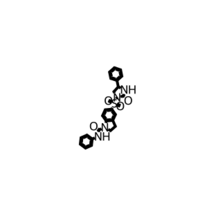 O=C(Nc1ccccc1)N1CCc2cc(S(=O)(=O)N3CC(c4ccccc4)NC3=O)ccc21